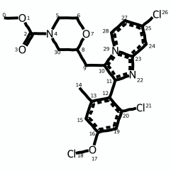 COC(=O)N1CCOC(Cc2c(-c3c(C)cc(OCl)cc3Cl)nc3cc(Cl)ccn23)C1